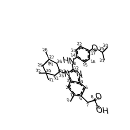 Cc1cc2c(cc1CC(=O)O)nc(Nc1ccc(OC(C)C)cc1)n2[C@@H]1C[C@H](C)CC(C)(C)C1